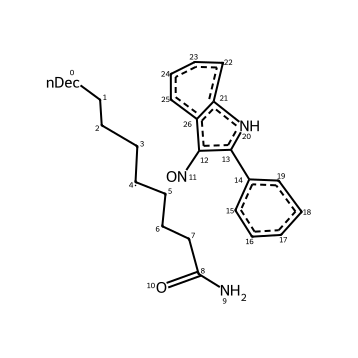 CCCCCCCCCCCCC[CH]CCCC(N)=O.O=Nc1c(-c2ccccc2)[nH]c2ccccc12